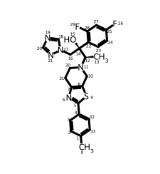 Cc1ccc(-c2nc3c(s2)CN([C@H](C)[C@](O)(Cn2cncn2)c2ccc(F)cc2F)CC3)cc1